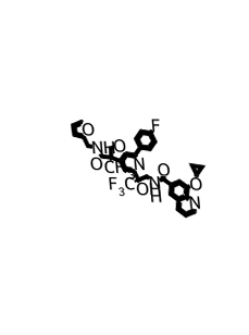 C[C@]1(C(=O)NCc2ccco2)COc2c1cc([C@@](O)(CNC(=O)c1cc(OC3CC3)c3ncccc3c1)C(F)(F)F)nc2-c1ccc(F)cc1